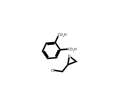 ClCC1CO1.O=C(O)c1ccccc1C(=O)O